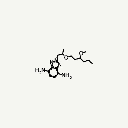 CCCC(CCOC(C)Cn1nc2c(N)ccc(N)c2n1)OC